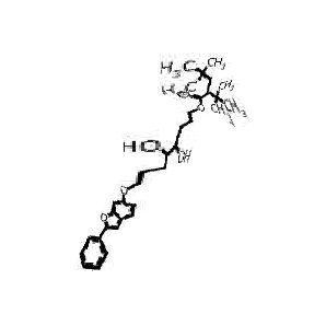 CC(C)(C)CC(C(=O)OCCCC(O)C(O)CCCOc1ccc2cc(-c3ccccc3)oc2c1)C(C)(C)C